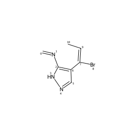 C=Nc1[nH]ncc1/C(Br)=C\C